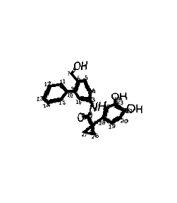 O=C(Nc1ccc(CO)c(-c2ccccc2)c1)C1(c2ccc(O)c(O)c2)CC1